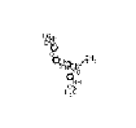 C=CC(=O)Nc1cccc(N2C(=O)N(CCOC)Cc3cnc(Sc4ccc(Oc5ccnc(C(=O)NC)c5)cc4)nc32)c1